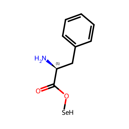 N[C@@H](Cc1ccccc1)C(=O)O[SeH]